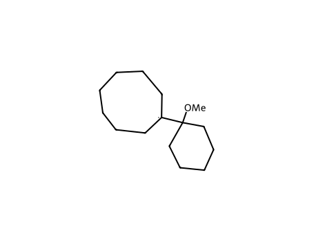 COC1([C]2CCCCCCC2)CCCCC1